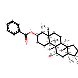 C[C@H]1[C@H](OC(=O)c2ccccc2)CC[C@]2(C)[C@@H]3[C@@H](CC[C@@H]12)[C@@H]1CC[C@H](C#N)[C@@]1(C)C[C@@H]3O